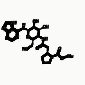 CC(C)(C)OC(=O)N1CCC[C@H]1CC(=O)N[C@@H]1[C@@H](O)[C@H](O)[C@@H](Nc2ncnc3nc[nH]c23)O[C@H]1CO